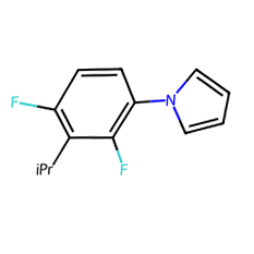 CC(C)c1c(F)ccc(-n2cccc2)c1F